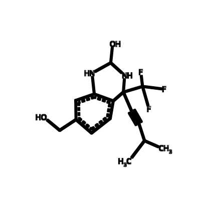 CC(C)C#CC1(C(F)(F)F)NC(O)Nc2cc(CO)ccc21